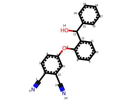 N#Cc1ccc(Oc2ccccc2C(O)c2ccccc2)cc1C#N